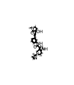 CN1CC[C@@](O)(C#Cc2cccc(NC(=O)c3n[nH]c4c3CN(c3nccs3)CC4)c2)C1=O